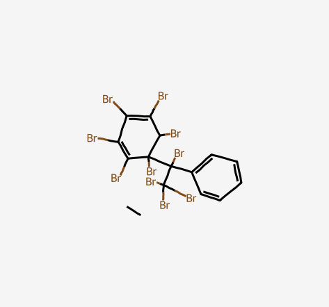 BrC1=C(Br)C(Br)C(Br)(C(Br)(c2ccccc2)C(Br)(Br)Br)C(Br)=C1Br.CC